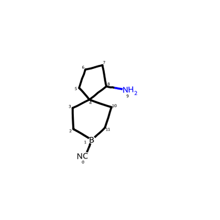 N#CB1CCC2(CCCC2N)CC1